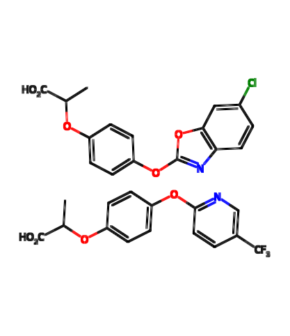 CC(Oc1ccc(Oc2ccc(C(F)(F)F)cn2)cc1)C(=O)O.CC(Oc1ccc(Oc2nc3ccc(Cl)cc3o2)cc1)C(=O)O